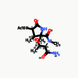 CC(=O)NC1C(=O)NC(C)(C(=O)N(C)[C@H](C(N)=O)[C@@H](C)O)C1C